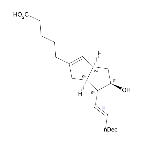 CCCCCCCCCC/C=C/[C@@H]1[C@H]2CC(CCCCC(=O)O)=C[C@H]2C[C@H]1O